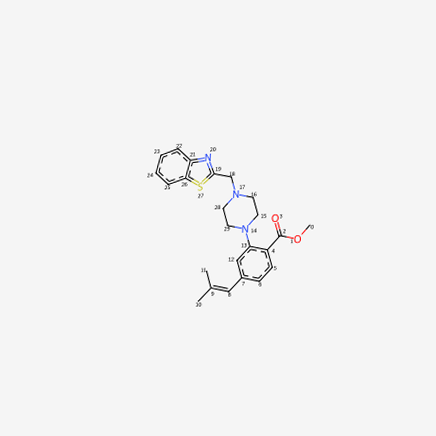 COC(=O)c1ccc(C=C(C)C)cc1N1CCN(Cc2nc3ccccc3s2)CC1